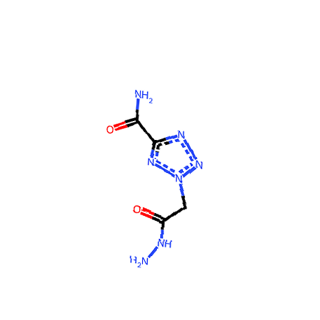 NNC(=O)Cn1nnc(C(N)=O)n1